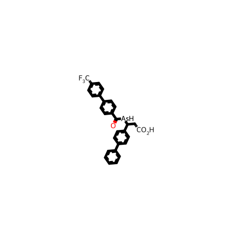 O=C(O)CC([AsH]C(=O)c1ccc(-c2ccc(C(F)(F)F)cc2)cc1)c1ccc(-c2ccccc2)cc1